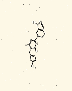 CCn1ncc2c1CN(c1nc(C)n(Cc3ccc(C(F)(F)F)s3)c(=O)n1)CC2